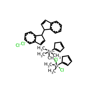 C1=CC(C2C=Cc3ccccc32)c2ccccc21.[CH3][Zr+2]([CH3])([CH3])([CH3])[C]1=CC=CC1.[CH3][Zr]([CH3])([Cl])([Cl])[C]1=CC=CC1.[Cl-].[Cl-]